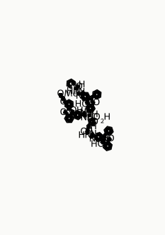 COCCOc1cccc(N2C(=O)c3ccccc3C2(O)c2ccc3[nH]c(NC(=O)O)nc3c2)c1.O=C(Nc1nc2cc(C3(O)c4ccccc4C(=O)N3Cc3ccccc3)ccc2[nH]1)N1CCCCC1.O=C(Nc1nc2cc(C3(O)c4ccccc4C(=O)N3Cc3ccccc3)ccc2[nH]1)OCC1CCOC1